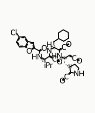 CC(C)[C@H](NC(=O)c1cc2cc(Cl)ccc2o1)C(=C=O)N[C@@H](CC1CCCCC1)C(=C=O)N[C@H](C=C=O)C[C@@H]1CCNC1=C=O